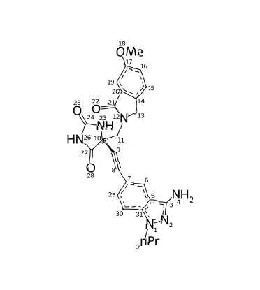 CCCn1nc(N)c2cc(C#C[C@]3(CN4Cc5ccc(OC)cc5C4=O)NC(=O)NC3=O)ccc21